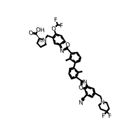 Cc1c(-c2nc3cc(CN4CCC[C@H]4C(=O)O)c(OC(F)F)cc3o2)cccc1-c1cccc(-c2nc3cc(CN4CCC(F)(F)CC4)cc(C#N)c3o2)c1C